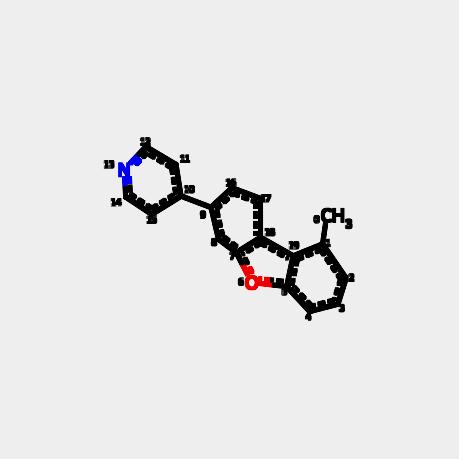 Cc1cccc2oc3cc(-c4ccncc4)ccc3c12